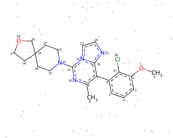 COc1cccc(-c2c(C)nc(N3CCC4(CCOC4)CC3)n3ccnc23)c1Cl